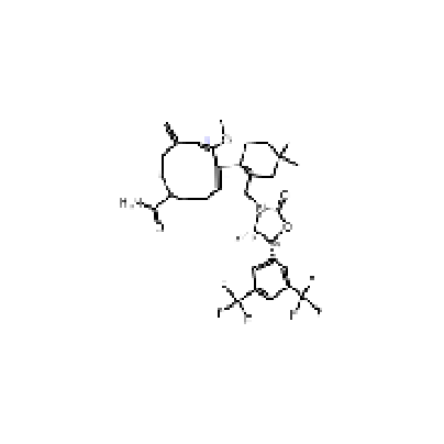 C=C1/C=C(OC)\C(C2=C(CN3C(=O)O[C@H](c4cc(C(F)(F)F)cc(C(F)(F)F)c4)[C@@H]3C)CC(C)(C)CC2)=C/CCC(C(N)=O)CC1